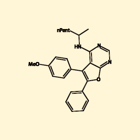 CCCCCC(C)Nc1ncnc2oc(-c3ccccc3)c(-c3ccc(OC)cc3)c12